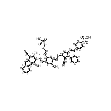 Cc1cc(N=Nc2c(C)c(C#N)c3nc4ccccc4n3c2O)c(OCCCS(=O)(=O)O)cc1N=Nc1sc(N=Nc2ccc(S(=O)(=O)O)cc2)c(-c2ccccc2)c1C#N